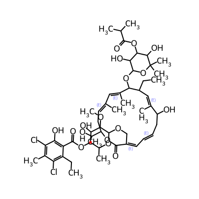 CCc1c(Cl)c(C)c(Cl)c(O)c1C(=O)OC1C(C)OC(OC/C2=C\C=C\CC(O)/C(C)=C/C(CC)C(OC3OC(C)(C)C(O)C(OC(=O)C(C)C)C3O)/C(C)=C/C(C)=C/CC(C(C)O)OC2=O)C(OC)C1O